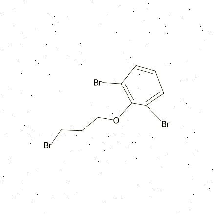 BrCCCOc1c(Br)cccc1Br